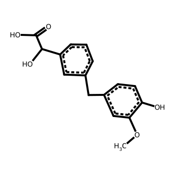 COc1cc(Cc2cccc(C(O)C(=O)O)c2)ccc1O